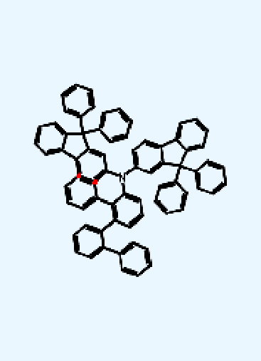 c1ccc(-c2ccccc2-c2cccc(N(c3ccc4c(c3)C(c3ccccc3)(c3ccccc3)c3ccccc3-4)c3ccc4c(c3)C(c3ccccc3)(c3ccccc3)c3ccccc3-4)c2-c2ccccc2)cc1